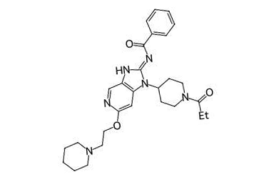 CCC(=O)N1CCC(n2/c(=N/C(=O)c3ccccc3)[nH]c3cnc(OCCN4CCCCC4)cc32)CC1